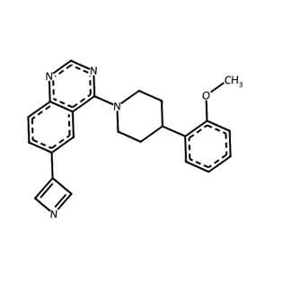 COc1ccccc1C1CCN(c2ncnc3ccc(C4=CN=C4)cc23)CC1